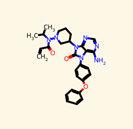 C=CC(=O)N(C(C)C)N1CCCC(n2c(=O)n(-c3ccc(Oc4ccccc4)cc3)c3c(N)ncnc32)C1